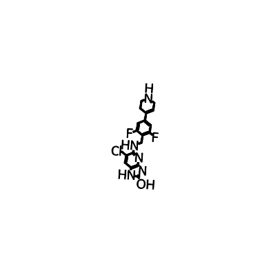 Oc1nc2nc(NCc3c(F)cc(C4=CCNCC4)cc3F)c(Cl)cc2[nH]1